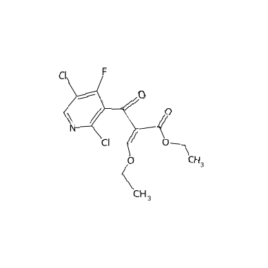 CCOC=C(C(=O)OCC)C(=O)c1c(Cl)ncc(Cl)c1F